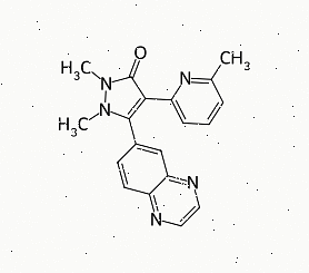 Cc1cccc(-c2c(-c3ccc4nccnc4c3)n(C)n(C)c2=O)n1